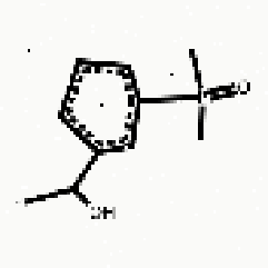 [CH2]C(O)c1cccc(P(C)(C)=O)c1